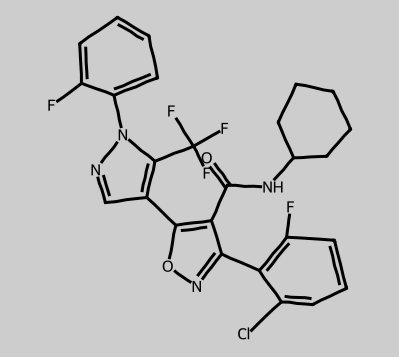 O=C(NC1CCCCC1)c1c(-c2c(F)cccc2Cl)noc1-c1cnn(-c2ccccc2F)c1C(F)(F)F